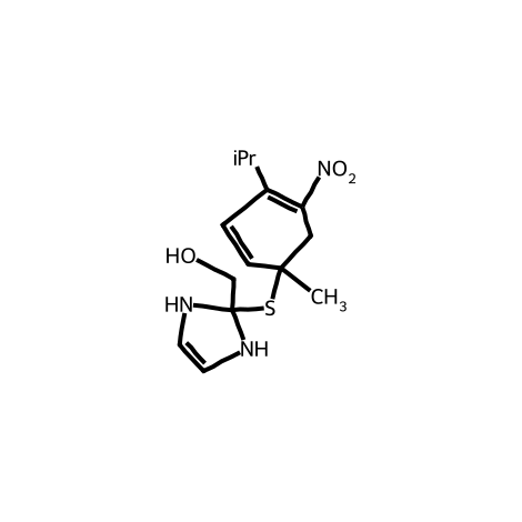 CC(C)C1=C([N+](=O)[O-])CC(C)(SC2(CO)NC=CN2)C=C1